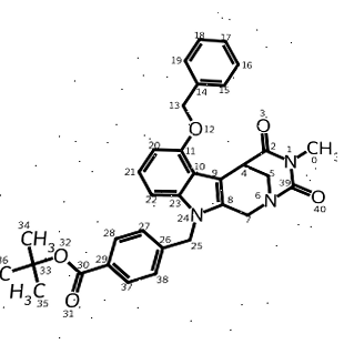 CN1C(=O)C2CN(Cc3c2c2c(OCc4ccccc4)cccc2n3Cc2ccc(C(=O)OC(C)(C)C)cc2)C1=O